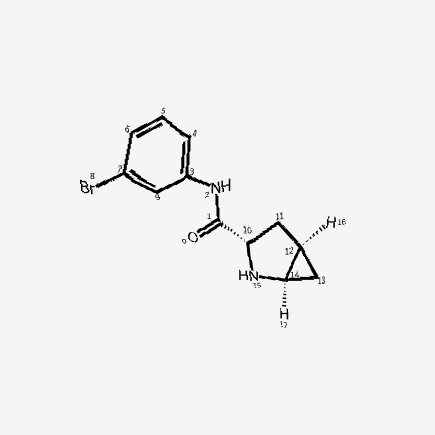 O=C(Nc1cccc(Br)c1)[C@@H]1C[C@H]2C[C@H]2N1